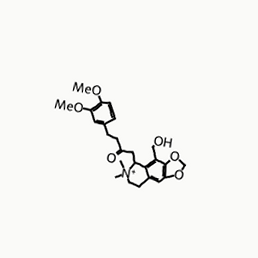 COc1ccc(CCC(=O)CC2c3c(cc4c(c3CO)OCO4)CC[N+]2(C)C)cc1OC